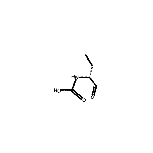 CC[C@H](C=O)NC(=O)O